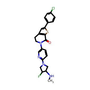 CNC1CN(c2ccc(N3CCc4cc(-c5ccc(Cl)cc5)sc4C3=O)cn2)CC1F